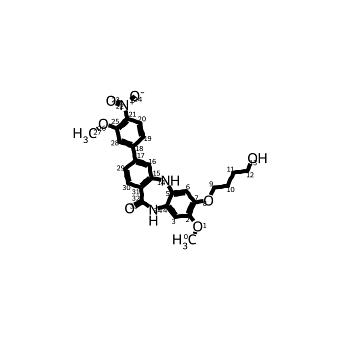 COc1cc2c(cc1OCCCCO)Nc1cc(-c3ccc([N+](=O)[O-])c(OC)c3)ccc1C(=O)N2